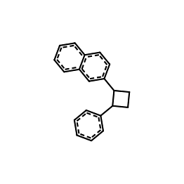 c1ccc(C2CCC2c2ccc3ccccc3c2)cc1